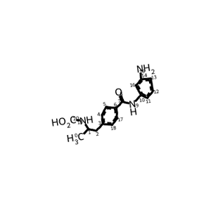 CC(Cc1ccc(C(=O)Nc2cccc(N)c2)cc1)NC(=O)O